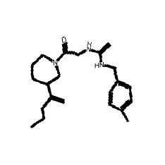 C=C(NCC(=O)N1CCCC(C(=C)CCC)C1)NCc1ccc(C)cc1